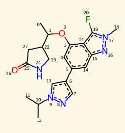 CC(Oc1cc(-c2cnn(C(C)C)c2)cc2nn(C)c(F)c12)C1CNC(=O)C1